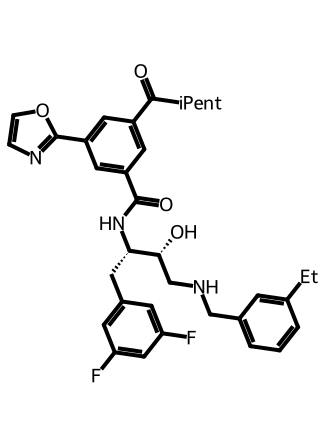 CCCC(C)C(=O)c1cc(C(=O)N[C@@H](Cc2cc(F)cc(F)c2)[C@H](O)CNCc2cccc(CC)c2)cc(-c2ncco2)c1